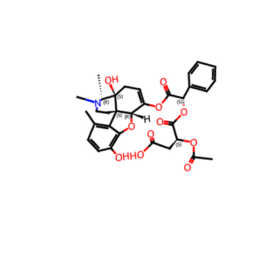 CC(=O)O[C@@H](CC(=O)O)C(=O)O[C@H](C(=O)OC1=CC[C@@]2(O)[C@@H](C)N(C)CC[C@@]23c2c(C)ccc(O)c2O[C@@H]13)c1ccccc1